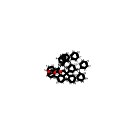 CC1(C)c2ccccc2-c2ccc3c(c21)C(c1cc(N(c2ccccc2)c2ccccc2)cc(N(c2ccccc2)c2ccccc2)c1)(c1nc(-c2ccccc2)nc(-c2ccccc2)n1)c1ccccc1-3